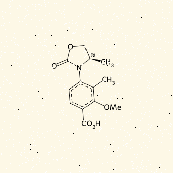 COc1c(C(=O)O)ccc(N2C(=O)OC[C@H]2C)c1C